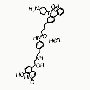 Cl.Cl.NC1CCC(N(C(=O)O)c2cc(CCCC(=O)Nc3ccc(CCNC[C@H](O)c4ccc(O)c5[nH]c(=O)ccc45)cc3)ccc2-c2ccccc2)CC1